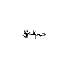 N#Cc1nonc1SCC(=O)NCCO